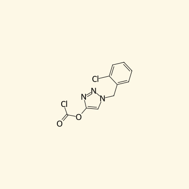 O=C(Cl)Oc1cn(Cc2ccccc2Cl)nn1